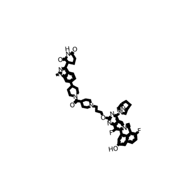 C#Cc1c(F)ccc2cc(O)cc(-c3ncc4c(N5CC6CCC(C5)N6)nc(OCCCN5CCC(C(=O)N6CCC(c7ccc8c(C9CCC(=O)NC9=O)nn(C)c8c7)CC6)CC5)nc4c3F)c12